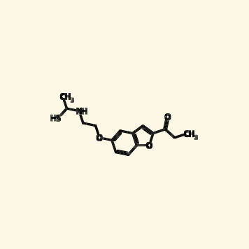 CCC(=O)c1cc2cc(OCCNC(C)S)ccc2o1